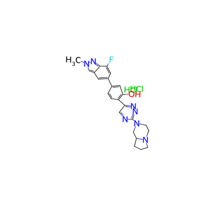 Cl.Cl.Cn1cc2cc(-c3ccc(-c4cnc(N5CCN6CCCC6C5)nn4)c(O)c3)cc(F)c2n1